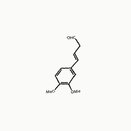 COc1ccc(/C=C/C[C]=O)cc1OC